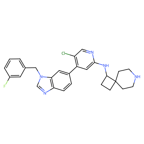 Fc1cccc(Cn2cnc3ccc(-c4cc(NC5CCC56CCNCC6)ncc4Cl)cc32)c1